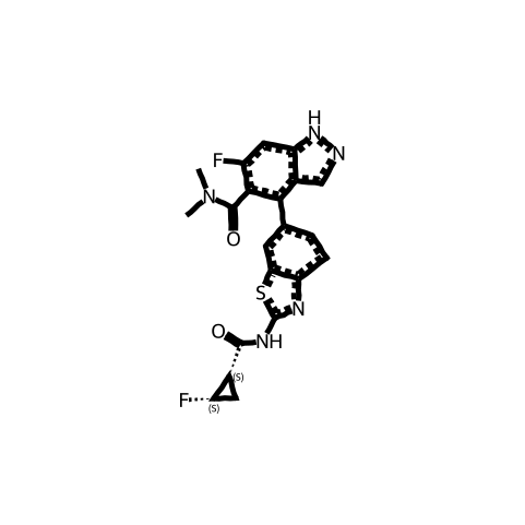 CN(C)C(=O)c1c(F)cc2[nH]ncc2c1-c1ccc2nc(NC(=O)[C@@H]3C[C@@H]3F)sc2c1